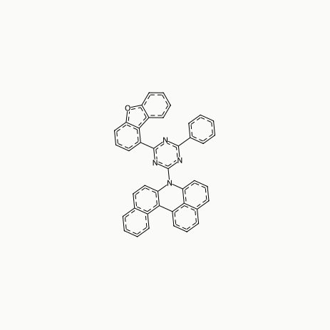 c1ccc(-c2nc(-c3cccc4oc5ccccc5c34)nc(N3c4ccc5ccccc5c4-c4cccc5cccc3c45)n2)cc1